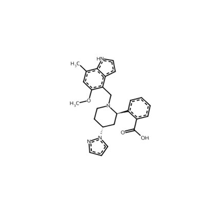 COc1cc(C)c2[nH]ccc2c1CN1CC[C@@H](n2cccn2)C[C@@H]1c1ccccc1C(=O)O